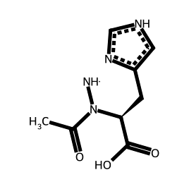 CC(=O)N([NH])[C@@H](Cc1c[nH]cn1)C(=O)O